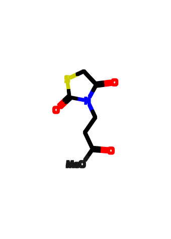 COC(=O)CCN1C(=O)CSC1=O